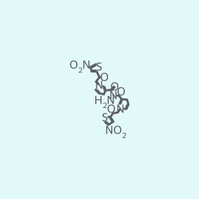 NN(C(=O)C1=CN(CC(=O)c2cc([N+](=O)[O-])cs2)C=CC1)C(=O)C1=CN(CC(=O)c2cc([N+](=O)[O-])cs2)C=CC1